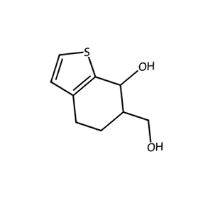 OCC1CCc2ccsc2C1O